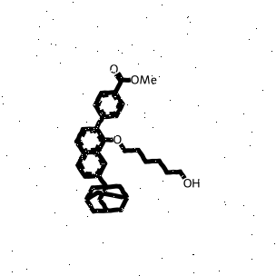 COC(=O)c1ccc(-c2ccc3ccc(C45CC6CC(CC(C6)C4)C5)cc3c2OCCCCCCO)cc1